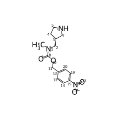 CN(C[C@H]1CCNC1)C(=O)OCc1ccc([N+](=O)[O-])cc1